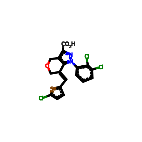 O=C(O)c1nn(-c2cccc(Cl)c2Cl)c2c1COCC2=Cc1ccc(Cl)s1